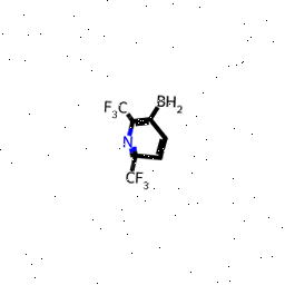 Bc1ccc(C(F)(F)F)nc1C(F)(F)F